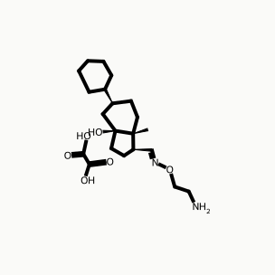 C[C@]12CC[C@H](C3CCCCC3)C[C@@]1(O)CC[C@@H]2C=NOCCN.O=C(O)C(=O)O